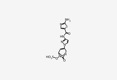 Nc1ncc(C(=O)Nc2ccn(C3=CC4CN(C3)C(=O)N4OS(=O)(=O)O)n2)s1